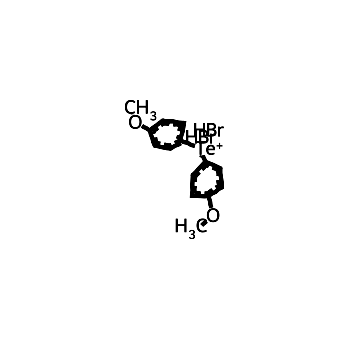 Br.Br.COc1ccc([Te+]c2ccc(OC)cc2)cc1